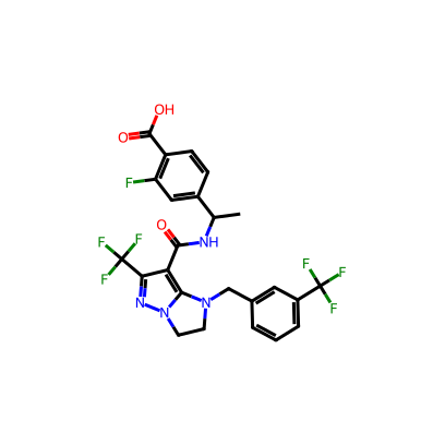 CC(NC(=O)c1c(C(F)(F)F)nn2c1N(Cc1cccc(C(F)(F)F)c1)CC2)c1ccc(C(=O)O)c(F)c1